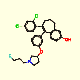 Oc1ccc2c(c1)CCCC(c1ccc(Cl)cc1Cl)=C2c1cccc(OC2CCN(CCCF)C2)c1